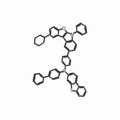 c1ccc(-c2ccc(N(c3ccc(-c4ccc5c(c4)c4c6cc(C7CCCCC7)ccc6oc4n5-c4ccccc4)cc3)c3ccc4c(c3)sc3ccccc34)cc2)cc1